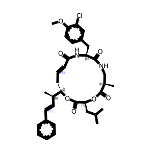 COc1ccc(C[C@@H]2NC(=O)/C=C/C[C@@H]([C@H](C)/C=C/c3ccccc3)OC(=O)[C@H](CC(C)C)OC(=O)[C@H](C)CNC2=O)cc1Cl